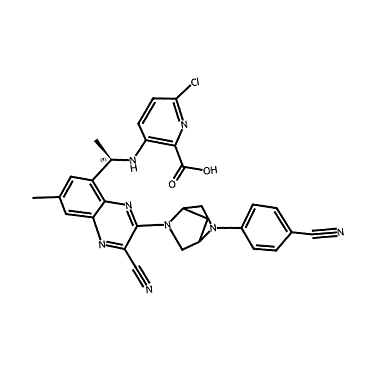 Cc1cc([C@@H](C)Nc2ccc(Cl)nc2C(=O)O)c2nc(N3CC4CC3CN4c3ccc(C#N)cc3)c(C#N)nc2c1